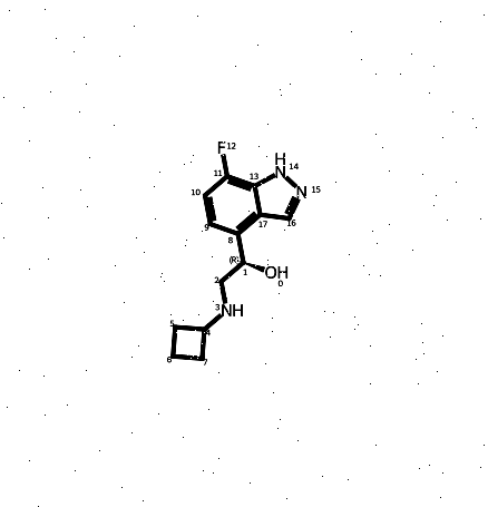 O[C@@H](CNC1CCC1)c1ccc(F)c2[nH]ncc12